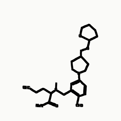 CNC(=O)C(CCC=O)N(C)Cc1cc(N2CCC(COC3CCCCO3)CC2)ccc1C=O